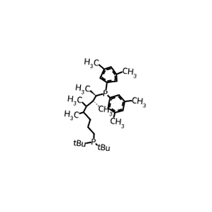 Cc1cc(C)cc(P(c2cc(C)cc(C)c2)[C@H](C)[C@H](C)C(C)C(C)CCCP(C(C)(C)C)C(C)(C)C)c1